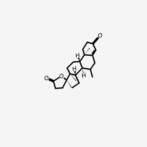 CC1CC2=CC(=O)CC[C@]2(C)[C@H]2CC[C@@]3(C)[C@@H](CC[C@@]34CCC(=O)O4)[C@H]12